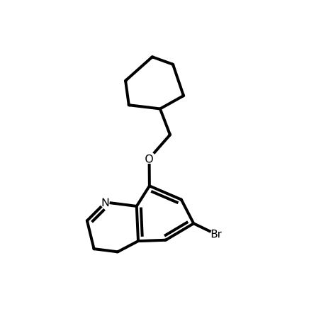 Brc1cc2c(c(OCC3CCCCC3)c1)N=CCC2